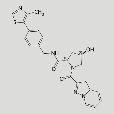 Cc1ncsc1-c1ccc(CNC(=O)[C@@H]2C[C@@H](O)CN2C(=O)C2=NN3C=CC=CC3C2)cc1